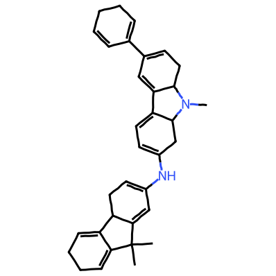 CN1C2CC=C(C3=CCCC=C3)C=C2C2=CC=C(NC3=CCC4C5=CCCC=C5C(C)(C)C4=C3)CC21